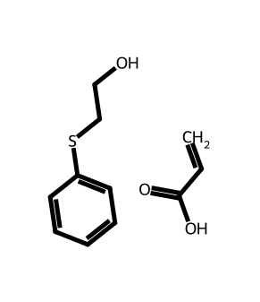 C=CC(=O)O.OCCSc1ccccc1